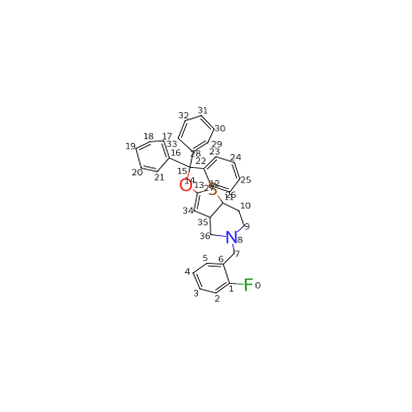 Fc1ccccc1CN1CCC2SC(OC(c3ccccc3)(c3ccccc3)c3ccccc3)=CC2C1